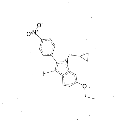 CCOc1ccc2c(I)c(-c3ccc([N+](=O)[O-])cc3)n(CC3CC3)c2c1